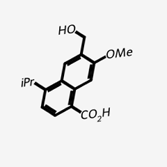 COc1cc2c(C(=O)O)ccc(C(C)C)c2cc1CO